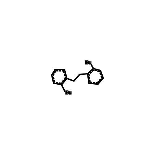 CCC(C)c1ccccc1CCc1ccccc1C(C)CC